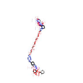 Cc1c(O)cc(O)c(C(=O)N2Cc3ccc(CN4CCN(CCOCCOCCOCCOCCOCCOCCNc5cccc6c5C(=O)N(C5CCC(=O)NC5=O)C6=O)CC4)cc3C2)c1OCC1CCCCC1